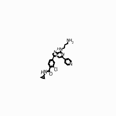 NCCCNc1nc(-c2ccncc2)cn2c(-c3ccc(C(=O)NC4CC4)c(Cl)c3)cnc12